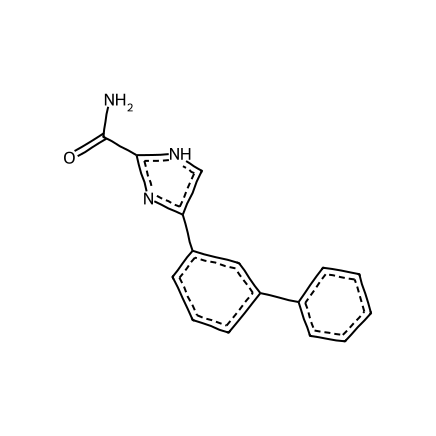 NC(=O)c1nc(-c2cccc(-c3ccccc3)c2)c[nH]1